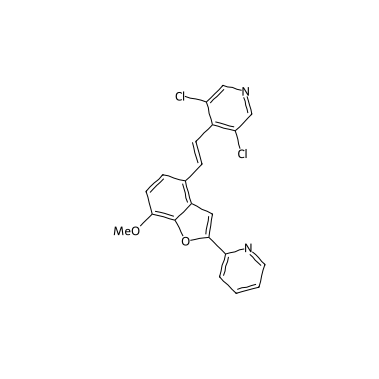 COc1ccc(C=Cc2c(Cl)cncc2Cl)c2cc(-c3ccccn3)oc12